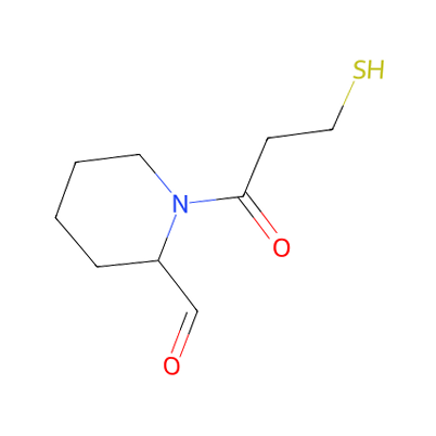 O=CC1CCCCN1C(=O)CCS